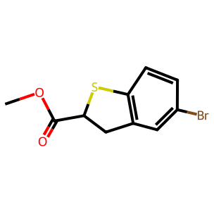 COC(=O)C1Cc2cc(Br)ccc2S1